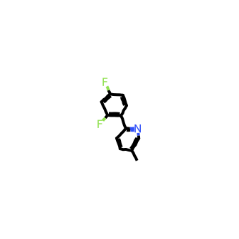 Cc1ccc(-c2ccc(F)cc2F)nc1